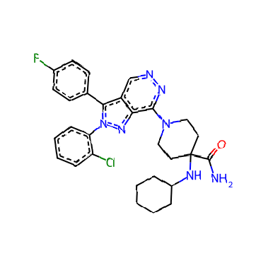 NC(=O)C1(NC2CCCCC2)CCN(c2nncc3c(-c4ccc(F)cc4)n(-c4ccccc4Cl)nc23)CC1